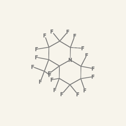 FC(F)(F)C1(F)C(F)(F)C(F)(F)C(F)(F)N2C(F)(F)C(F)(F)C(F)(F)C(F)(F)C21F